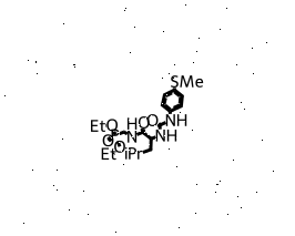 CCOP(=O)(CNC(=O)C(CC(C)C)NC(=O)Nc1ccc(SC)cc1)OCC